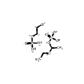 CCOC(C)OP(=O)(O)O.O=P(O)(O)OCCCl